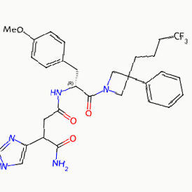 COc1ccc(C[C@@H](NC(=O)CC(C(N)=O)c2c[nH]cn2)C(=O)N2CC(CCCC(F)(F)F)(c3ccccc3)C2)cc1